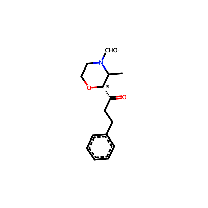 CC1[C@H](C(=O)CCc2ccccc2)OCCN1[C]=O